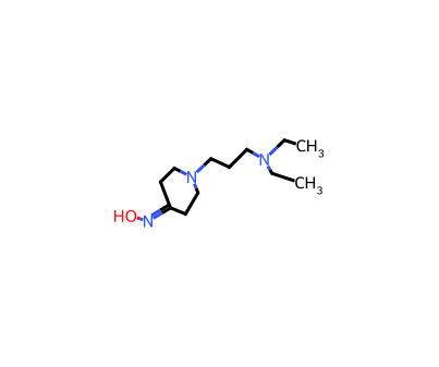 CCN(CC)CCCN1CCC(=NO)CC1